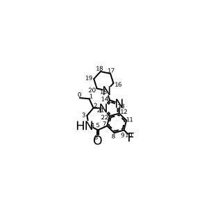 CCC1CNC(=O)c2cc(F)cc3nc(N4CCCCC4)n1c23